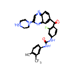 N#Cc1ccc(NC(=O)Nc2ccc(C(=O)c3ccc4ncc(N5CCNCC5)nc4c3)c(F)c2)cc1C(F)(F)F